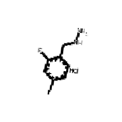 Cl.NNCc1ccc(F)cc1F